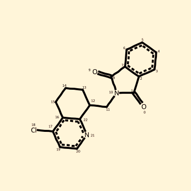 O=C1c2ccccc2C(=O)N1CC1CCCc2c(Cl)ccnc21